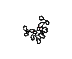 c1ccc(-c2ccccc2-c2ccccc2-c2ccccc2N(c2cccc(-c3ccc4c(c3)c3ccccc3n4-c3ccccc3)c2)c2ccc3c(c2)C(c2ccccc2)(c2ccccc2)c2ccccc2-3)cc1